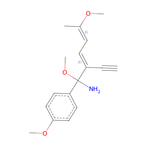 C#C/C(=C\C=C(/C)OC)C(N)(OC)c1ccc(OC)cc1